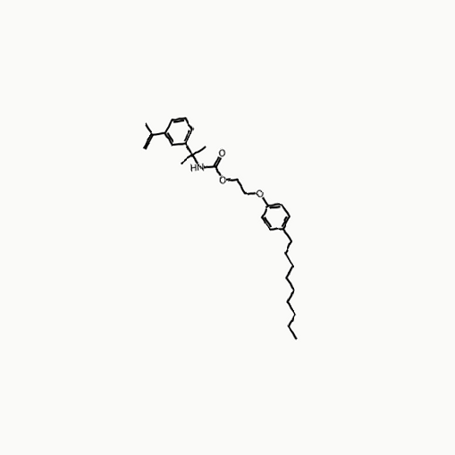 C=C(C)c1cccc(C(C)(C)NC(=O)OCCOc2ccc(CCCCCCCCC)cc2)c1